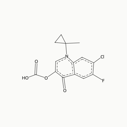 CC1(n2cc(OC(=O)O)c(=O)c3cc(F)c(Cl)cc32)CC1